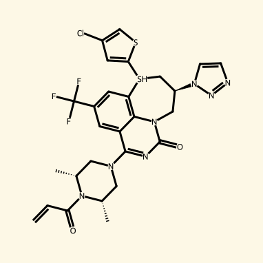 C=CC(=O)N1[C@H](C)CN(c2nc(=O)n3c4c(cc(C(F)(F)F)cc24)[SH](c2cc(Cl)cs2)C[C@@H](n2ccnn2)C3)C[C@@H]1C